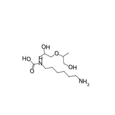 CC(O)COC(C)CO.NCCCCCCNC(=O)O